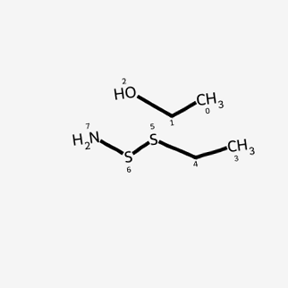 CCO.CCSSN